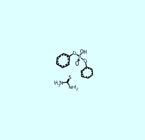 NC(N)=S.O=P(O)(Oc1ccccc1)Oc1ccccc1